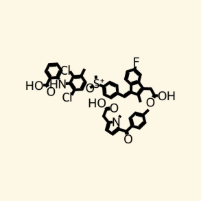 CC1=C(CC(=O)O)c2cc(F)ccc2/C1=C\c1ccc([S+](C)[O-])cc1.Cc1ccc(C(=O)c2ccc(CC(=O)O)n2C)cc1.Cc1ccc(Cl)c(Nc2ccccc2C(=O)O)c1Cl